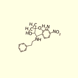 CC1(C)Oc2c(ccc([N+](=O)[O-])c2N)C(NCCc2ccccc2)C1O